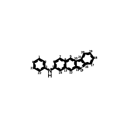 c1ccc(Nc2ccc3cc4c(cc3c2)sc2ccccc24)cc1